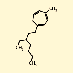 CCCCC(CC)CCC1=CC=C(C)C=CC1